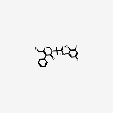 CC(C)(C(=O)Nc1cc(F)cc(F)c1Cl)N1COC(CF)=C(c2ccccc2)C1=O